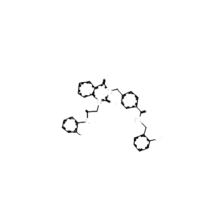 O=C(Cn1c(=O)n(Cc2ccc(C(=O)NCc3ccccc3Cl)cc2)c(=O)c2ccccc21)Nc1ccccc1F